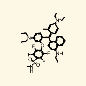 CCNc1ccc(/C(=C2\C=CC(=[N+](CC)CC)C=C2C)c2ccc(N(CC)CC)cc2Oc2c(F)c(F)c(S(=O)(=O)NC)c(F)c2F)c2ccccc12